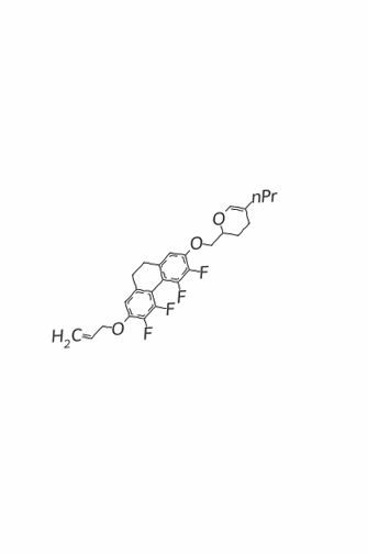 C=CCOc1cc2c(c(F)c1F)-c1c(cc(OCC3CCC(CCC)=CO3)c(F)c1F)CC2